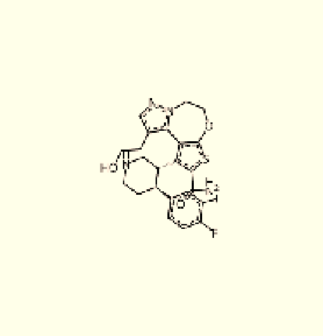 NC(=O)c1sc2c(c1[C@H]1CNCC[C@@H]1c1ccc(F)c(F)c1)-c1c(CCO)cnn1CCO2